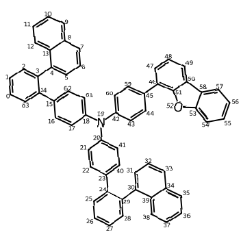 c1ccc(-c2cccc3ccccc23)c(-c2ccc(N(c3ccc(-c4ccccc4-c4cccc5ccccc45)cc3)c3ccc(-c4cccc5c4oc4ccccc45)cc3)cc2)c1